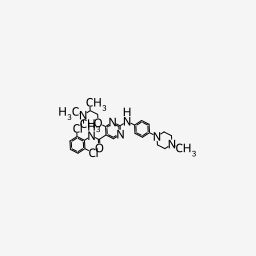 CC(COc1nc(Nc2ccc(N3CCN(C)CC3)cc2)ncc1C(=O)Nc1c(Cl)cccc1Cl)N(C)C